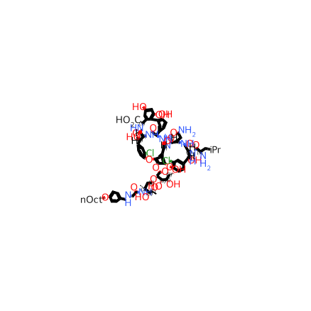 CCCCCCCCOc1ccc(CNCC(=O)N[C@@]2(C)C[C@H](OC3C(Oc4c5cc6cc4Oc4ccc(cc4Cl)[C@@H](O)[C@@H](NC(=O)[C@@H](N)CC(C)C)C(=O)N[C@@H](CC(N)=O)C(=O)N[C@H]6C(=O)NC4C(=O)N[C@H](C(=O)N[C@H](C(=O)O)c6cc(O)cc(O)c6-c6cc4ccc6O)[C@H](O)c4ccc(c(Cl)c4)O5)O[C@H](CO)[C@@H](O)[C@@H]3O)O[C@@H](C)[C@H]2O)cc1